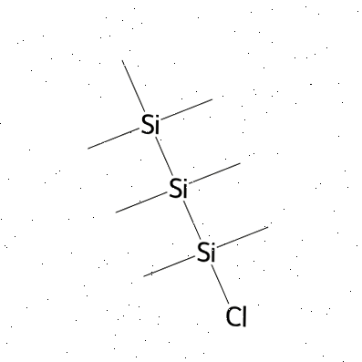 C[Si](C)(C)[Si](C)(C)[Si](C)(C)Cl